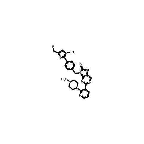 CN1CCN(c2ncccc2-c2ncc3[nH]c(=O)n(Cc4ccc(-c5nc(CF)cn5C)cc4)c3n2)CC1